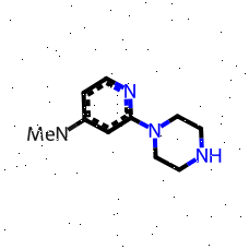 CNc1ccnc(N2CCNCC2)c1